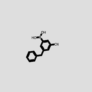 N#Cc1cc(Cc2ccccc2)cc(B(O)O)c1